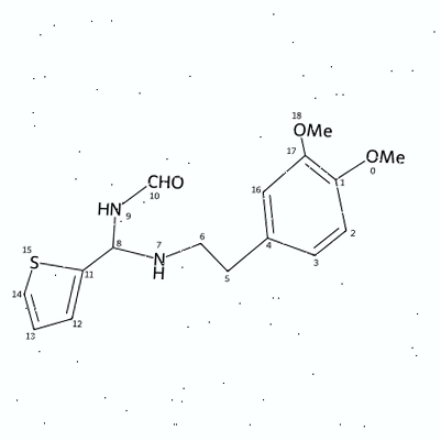 COc1ccc(CCNC(NC=O)c2cccs2)cc1OC